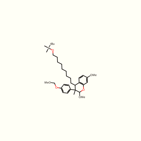 COCOc1ccc(C2(C)C(OC)Oc3cc(OC)ccc3C2CCCCCCCCCO[Si](C)(C)C(C)(C)C)cc1